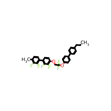 CCCc1ccc(-c2ccc(OC(F)(F)COc3ccc(-c4ccc(C)c(F)c4F)c(F)c3F)cc2)cc1